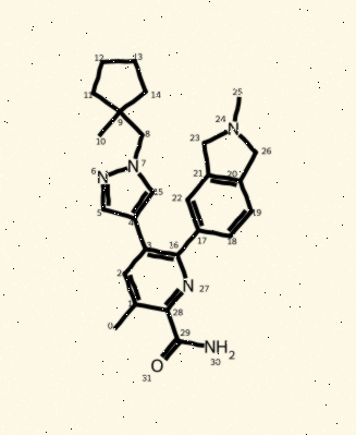 Cc1cc(-c2cnn(CC3(C)CCCC3)c2)c(-c2ccc3c(c2)CN(C)C3)nc1C(N)=O